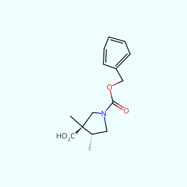 C[C@H]1CN(C(=O)OCc2ccccc2)C[C@]1(C)C(=O)O